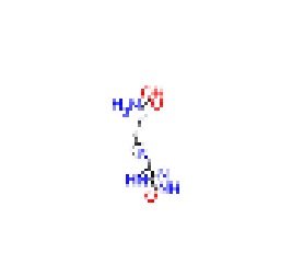 N[C@@H](CCCC[C@@H]1CCN(Cc2c[nH]c3c(=O)[nH]cnc23)C1)C(=O)O